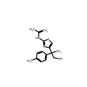 C=C(C)Nc1nc(C(C)(CO)c2ccc(C)cc2)cs1